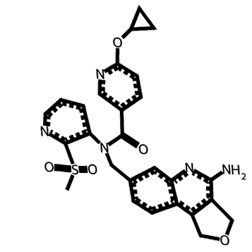 CS(=O)(=O)c1ncccc1N(Cc1ccc2c3c(c(N)nc2c1)COC3)C(=O)c1ccc(OC2CC2)nc1